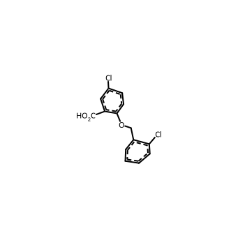 O=C(O)c1cc(Cl)ccc1OCc1ccccc1Cl